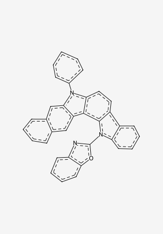 c1ccc(-n2c3cc4ccccc4cc3c3c2ccc2c4ccccc4n(-c4nc5ccccc5o4)c23)cc1